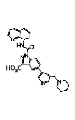 O=C(O)c1nn(C(=O)Nc2cccc3cccnc23)c2ccc(-c3cncc(CN4CCCCC4)c3)cc12